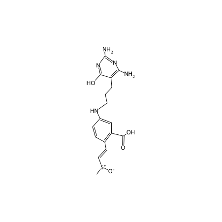 C[S+]([O-])/C=C/c1ccc(NCCCc2c(N)nc(N)nc2O)cc1C(=O)O